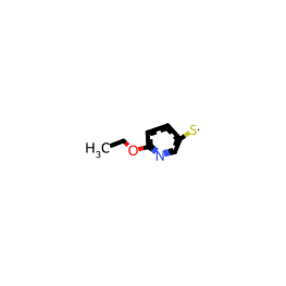 CCOc1ccc([S])cn1